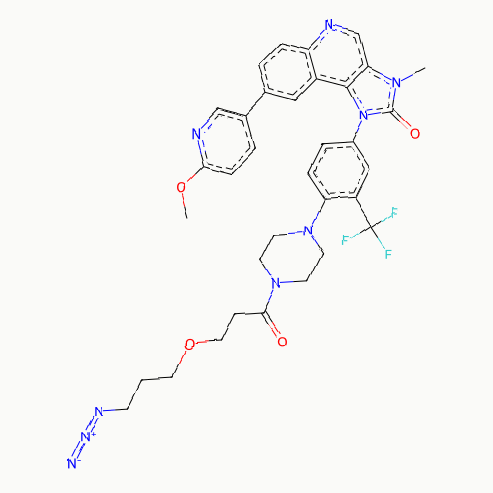 COc1ccc(-c2ccc3ncc4c(c3c2)n(-c2ccc(N3CCN(C(=O)CCOCCCN=[N+]=[N-])CC3)c(C(F)(F)F)c2)c(=O)n4C)cn1